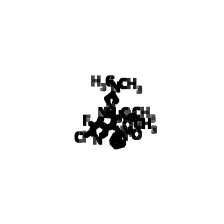 CN(C)C1CN(c2nc3c(F)c(Cl)ncc3c(NC3C4CC3N(C(=O)OC(C)(C)C)C4)c2N)C1